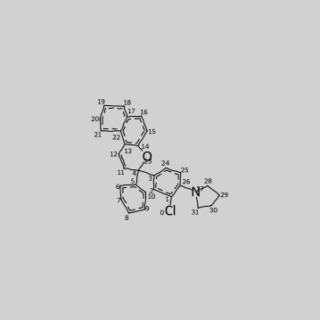 Clc1cc(C2(c3ccccc3)C=Cc3c(ccc4ccccc34)O2)ccc1N1CCCC1